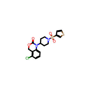 O=C1OCc2c(Cl)cccc2N1C1CCN(S(=O)(=O)c2ccsc2)CC1